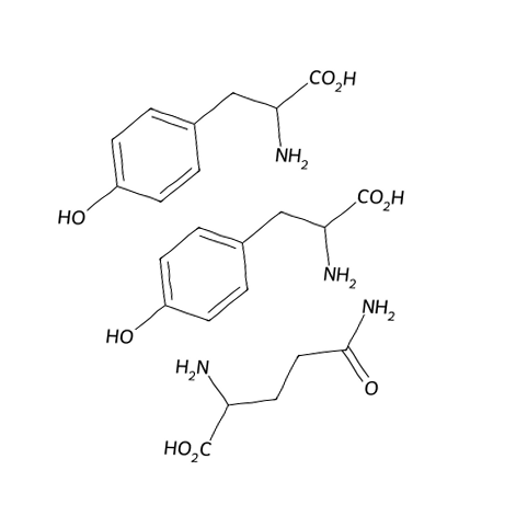 NC(=O)CCC(N)C(=O)O.NC(Cc1ccc(O)cc1)C(=O)O.NC(Cc1ccc(O)cc1)C(=O)O